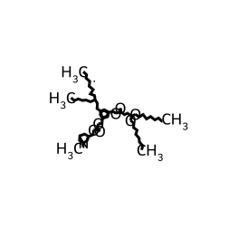 CCC[CH]CCCCC(CCCCCC)CCc1cc(COC(=O)CCC(OCCCCCCCC)OCCCCCCCC)cc(COC(=O)OCC2CCCN(CC)C2)c1